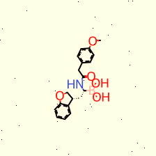 COc1ccc(CC(=O)N[C@@H](C[C@H]2COc3ccccc32)B(O)O)cc1